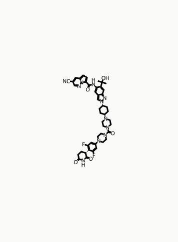 CC(C)(O)c1cc2nn([C@H]3CC[C@H](N4CCN(C(=O)N5CCN(c6cc(F)c([C@H]7CCC(=O)NC7=O)c(F)c6)CC5)CC4)CC3)cc2cc1NC(=O)c1ccc2cc(C#N)cnn12